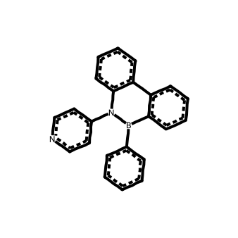 c1ccc(B2c3ccccc3-c3ccccc3N2c2ccncc2)cc1